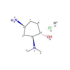 CN(C)[C@H]1C[C@@H](N)CC[C@@H]1O.[Cl-].[H+]